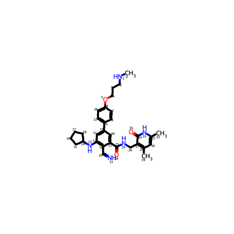 CNCCCOc1ccc(-c2cc(NC3CCCC3)c(C=N)c(C(=O)NCc3c(C)cc(C)[nH]c3=O)c2)cc1